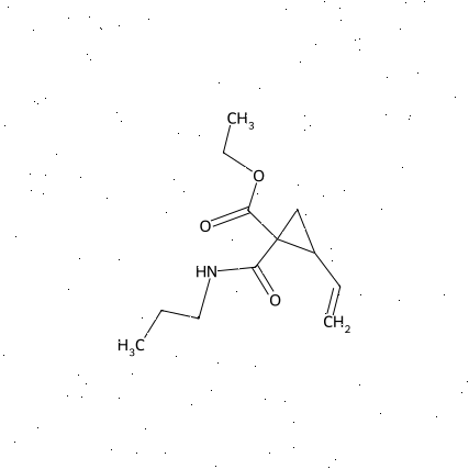 C=CC1CC1(C(=O)NCCC)C(=O)OCC